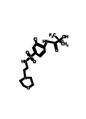 C[C@@](O)(C(=O)Nc1ccc(S(=O)(=O)NCCN2CCOCC2)cc1Cl)C(F)(F)F